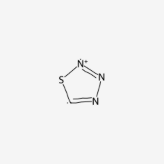 [C]1=NN=[N+]S1